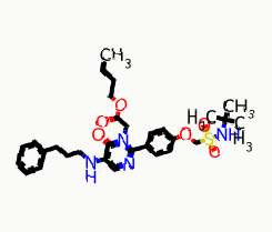 CCCCOC(=O)Cn1c(-c2ccc(OCS(=O)(=O)NC(C)(C)C)cc2)ncc(NCCCc2ccccc2)c1=O